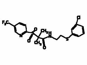 CC(C)(C(=O)NCCSc1cccc(Cl)c1)S(=O)(=O)c1ccc(C(F)(F)F)cn1